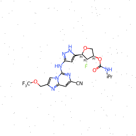 CC(C)NC(=O)O[C@@H]1CO[C@H](c2cc(Nc3nc(C#N)cc4nc(COC(F)(F)F)cn34)n[nH]2)[C@H]1F